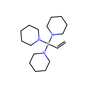 C=C[Si](N1CCCCC1)(N1CCCCC1)N1CCCCC1